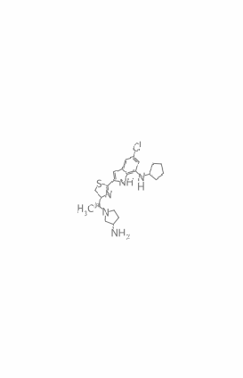 C[C@H](C1CSC(c2cc3cc(Cl)cc(NC4CCCC4)c3[nH]2)=N1)N1CCC(N)C1